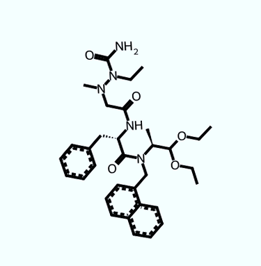 CCOC(OCC)[C@H](C)N(Cc1cccc2ccccc12)C(=O)[C@H](Cc1ccccc1)NC(=O)CN(C)N(CC)C(N)=O